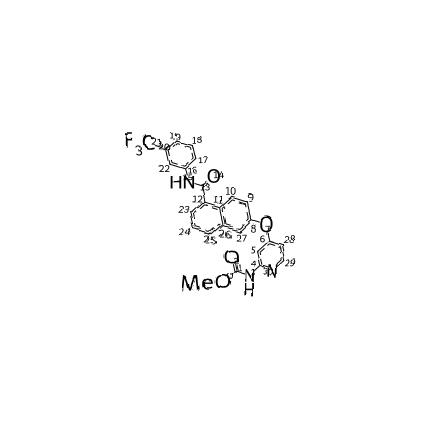 COC(=O)Nc1cc(Oc2ccc3c(C(=O)Nc4cccc(C(F)(F)F)c4)cccc3c2)ccn1